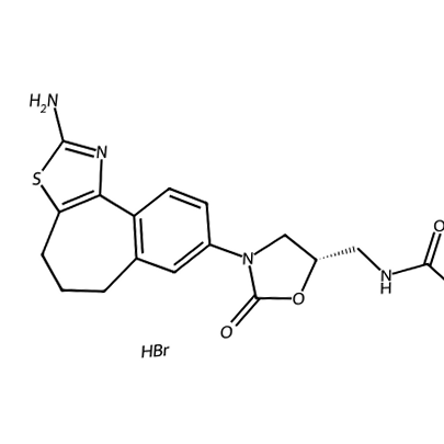 Br.CC(=O)NC[C@H]1CN(c2ccc3c(c2)CCCc2sc(N)nc2-3)C(=O)O1